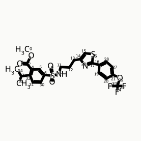 COC(=O)c1cc(S(=O)(=O)NCCCc2csc(-c3ccc(OC(F)(F)F)cc3)n2)ccc1C(C)C